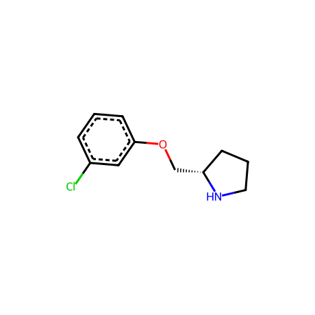 Clc1cccc(OC[C@@H]2CCCN2)c1